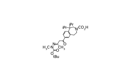 C/C(CC(=O)c1ccc2c(c1)CCN(C(=O)O)CC2(C(C)C)C(C)C)=N\N(C)C(=O)OC(C)(C)C